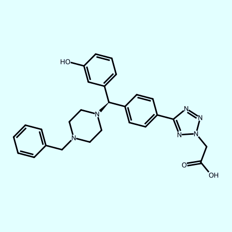 O=C(O)Cn1nnc(-c2ccc([C@H](c3cccc(O)c3)N3CCN(Cc4ccccc4)CC3)cc2)n1